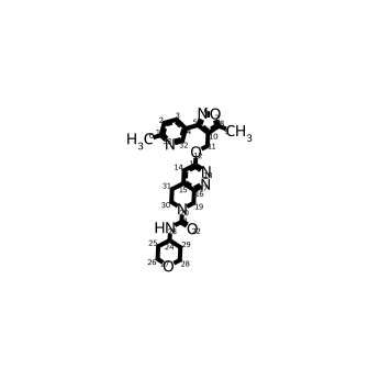 Cc1ccc(-c2noc(C)c2COc2cc3c(nn2)CN(C(=O)NC2CCOCC2)CC3)cn1